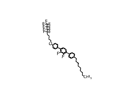 CCCCCCCCCc1ccc(-c2ccc(-c3ccc(OCCCCC(F)(F)C(F)(F)C(F)(F)C(F)(F)F)cc3)c(F)c2F)cc1